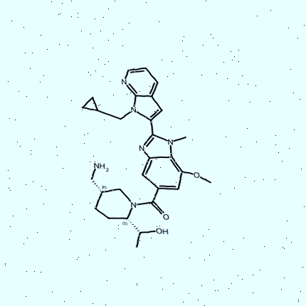 COc1cc(C(=O)N2C[C@@H](CN)CC[C@H]2C(C)O)cc2nc(-c3cc4cccnc4n3CC3CC3)n(C)c12